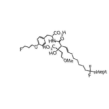 CCCCCCCC(F)(F)CCCCCCC=C[C@H](C(=O)N[C@@H](Cc1ccc(OCCCF)cc1)C(=O)O)[C@@](O)(CCOC)C(=O)O